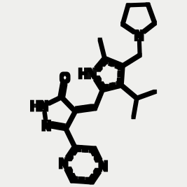 Cc1[nH]c(C=C2C(=O)NN=C2c2cnccn2)c(C(C)C)c1CN1CCCC1